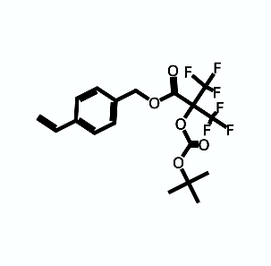 C=Cc1ccc(COC(=O)C(OC(=O)OC(C)(C)C)(C(F)(F)F)C(F)(F)F)cc1